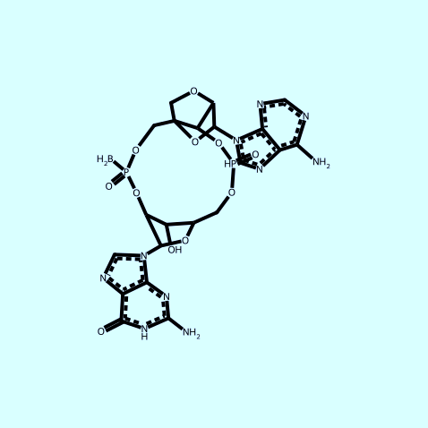 BP1(=O)OCC23COC(C(n4cnc5c(N)ncnc54)O2)C3O[PH](=O)OCC2OC(n3cnc4c(=O)[nH]c(N)nc43)C(O1)C2O